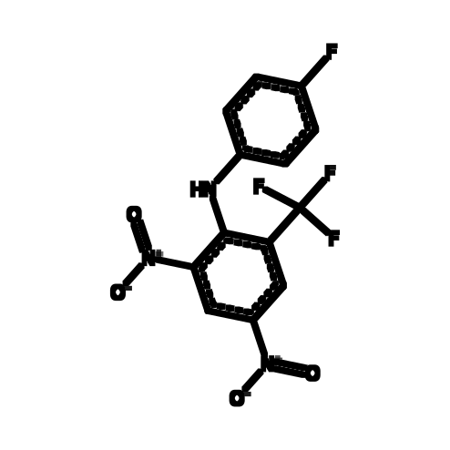 O=[N+]([O-])c1cc([N+](=O)[O-])c(Nc2ccc(F)cc2)c(C(F)(F)F)c1